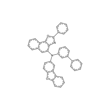 c1ccc(-c2cccc(N(c3ccc4oc5ccccc5c4c3)c3cc4ccccc4c4oc(-c5ccccc5)nc34)c2)cc1